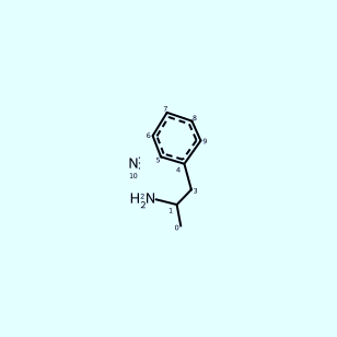 CC(N)Cc1ccccc1.[N]